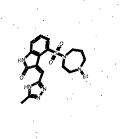 CCN1CCCN(S(=O)(=O)c2cccc3c2/C(=C/c2nnc(C)[nH]2)C(=O)N3)CC1